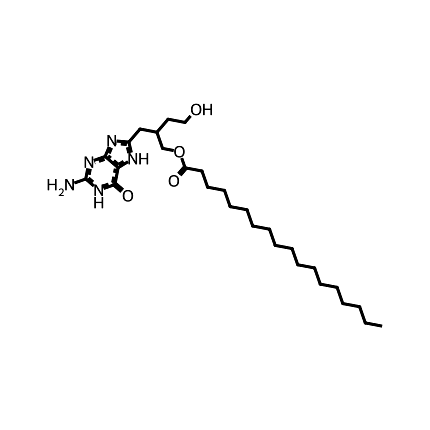 CCCCCCCCCCCCCCCCCC(=O)OCC(CCO)Cc1nc2nc(N)[nH]c(=O)c2[nH]1